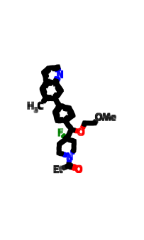 CCC(=O)N1CCC(F)(C(OCCOC)c2ccc(-c3cc4ncccc4cc3C)cc2)CC1